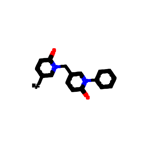 Cc1ccc(=O)n(Cc2ccc(=O)n(-c3ccccc3)c2)c1